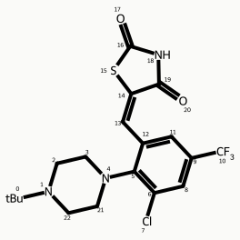 CC(C)(C)N1CCN(c2c(Cl)cc(C(F)(F)F)cc2/C=C2/SC(=O)NC2=O)CC1